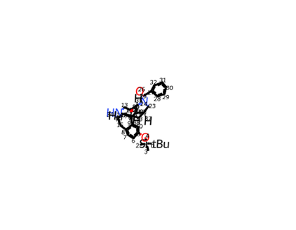 CC(C)(C)[Si](C)(C)Oc1ccc2c(c1)[C@]13CCN[C@H](C2)[C@]12CC[C@@H]1[C@H]3[C@@H](CN1C(=O)c1ccccc1)C2